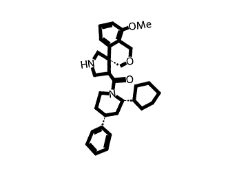 COc1cccc2c1COC[C@]21CNCC1C(=O)N1CC[C@@H](c2ccccc2)C[C@H]1C1CCCCC1